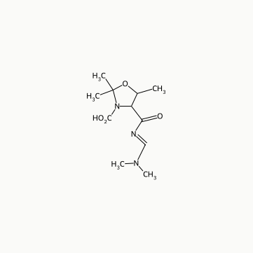 CC1OC(C)(C)N(C(=O)O)C1C(=O)/N=C/N(C)C